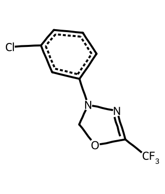 FC(F)(F)C1=NN(c2cccc(Cl)c2)CO1